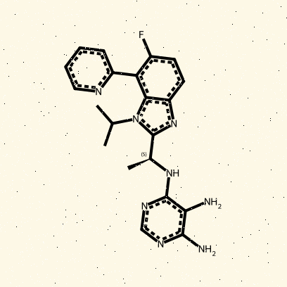 CC(C)n1c([C@H](C)Nc2ncnc(N)c2N)nc2ccc(F)c(-c3ccccn3)c21